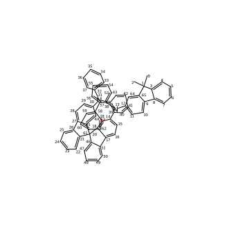 CC1(C)c2ccccc2-c2ccc(N(c3ccc4c(c3)C3(c5ccccc5-c5ccc(N(c6ccccc6)c6ccccc6)cc53)c3ccccc3-4)c3ccccc3-c3ccccc3)cc21